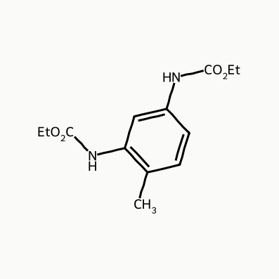 CCOC(=O)Nc1ccc(C)c(NC(=O)OCC)c1